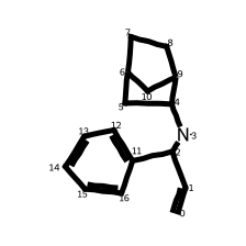 C=CC([N]C1CC2CCC1C2)c1ccccc1